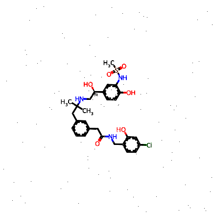 CC(C)(Cc1cccc(CC(=O)NCc2ccc(Cl)cc2O)c1)NC[C@@H](O)c1ccc(O)c(NS(C)(=O)=O)c1